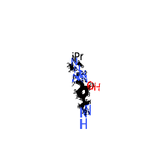 CC(C)N1CCN(c2ncc(-c3ccc(-c4cn[nH]c4)cc3O)nn2)CC1